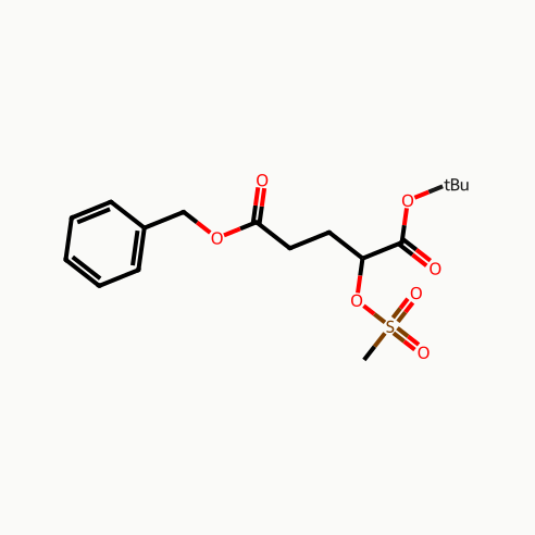 CC(C)(C)OC(=O)C(CCC(=O)OCc1ccccc1)OS(C)(=O)=O